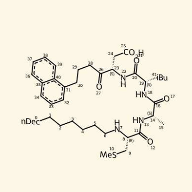 CCCCCCCCCCCCCCCCN[C@@H](CSC)C(=O)N[C@@H](C)C(=O)N[C@H](C(=O)N[C@@H](CC(=O)O)C(=O)CCCc1cccc2ccccc12)C(C)CC